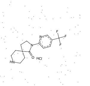 Cl.O=C1N(c2ccc(C(F)(F)F)cn2)CCC12CCNCC2